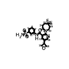 NS(=O)(=O)c1cccc(NC(=O)c2cc(C3COC3)cnc2N2CCCC(F)(F)CC2)c1